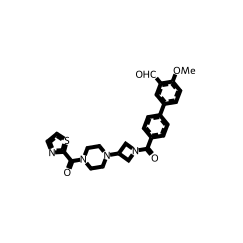 COc1ccc(-c2ccc(C(=O)N3CC(N4CCN(C(=O)c5nccs5)CC4)C3)cc2)cc1C=O